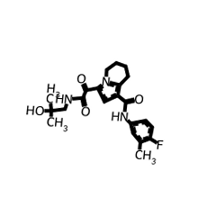 Cc1cc(NC(=O)c2cc(C(=O)C(=O)NCC(C)(C)O)n3c2CCCC3)ccc1F